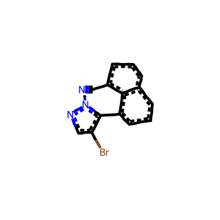 Cn1ncc(Br)c1-c1cccc2cccc(C#N)c12